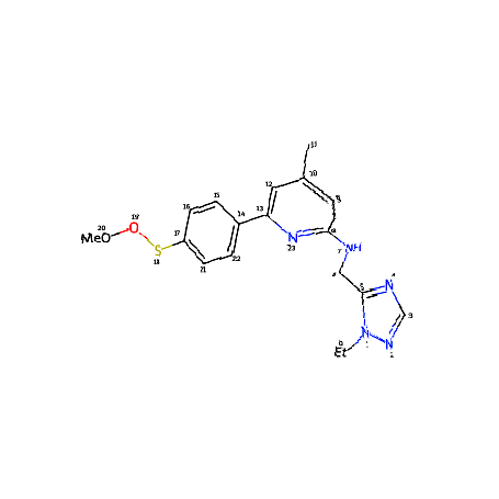 CCn1ncnc1CNc1cc(C)cc(-c2ccc(SOOC)cc2)n1